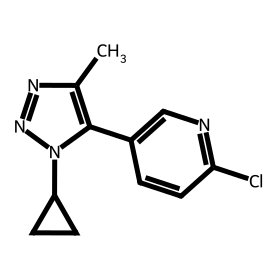 Cc1nnn(C2CC2)c1-c1ccc(Cl)nc1